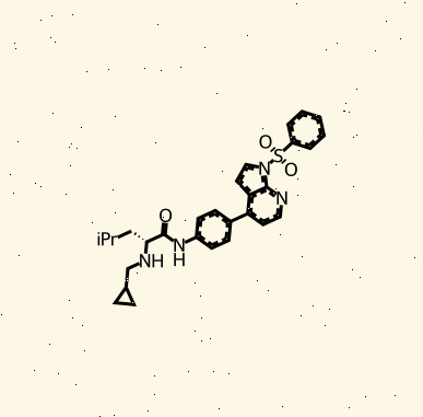 CC(C)C[C@@H](NCC1CC1)C(=O)Nc1ccc(-c2ccnc3c2ccn3S(=O)(=O)c2ccccc2)cc1